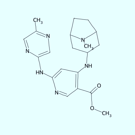 COC(=O)c1cnc(Nc2cnc(C)cn2)cc1NC1CC2CCC(C1)N2C